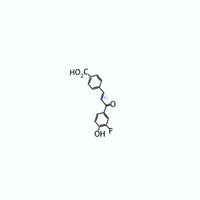 O=C(O)c1ccc(/C=C/C(=O)c2ccc(O)c(F)c2)cc1